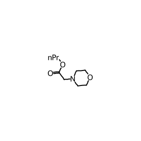 CCCOC(=O)CN1CCOCC1